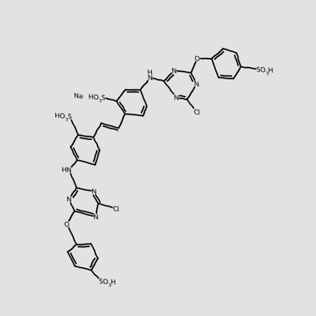 O=S(=O)(O)c1ccc(Oc2nc(Cl)nc(Nc3ccc(C=Cc4ccc(Nc5nc(Cl)nc(Oc6ccc(S(=O)(=O)O)cc6)n5)cc4S(=O)(=O)O)c(S(=O)(=O)O)c3)n2)cc1.[Na]